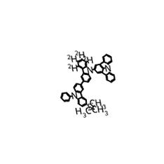 [2H]c1c([2H])c([2H])c2c(c1[2H])c1cc(-c3ccc4c(c3)c3cc([Si](C)(C)C)ccc3n4-c3ccccc3)ccc1n2-c1cc2c3ccccc3n3c4ccccc4c(c1)c23